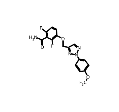 NC(=O)c1c(F)ccc(OCc2cnn(-c3ccc(OC(F)(F)F)cc3)n2)c1F